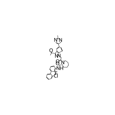 CC(=O)c1nn(CC(=O)N2CCCCC[C@H]2C(=O)Nc2cccc(-c3ccccc3Cl)c2F)c2ccc(-c3cnc(C)nc3)cc12